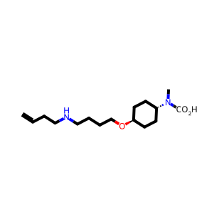 C=CCCNCCCCO[C@H]1CC[C@H](N(C)C(=O)O)CC1